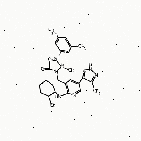 CCC1CCCCC1Nc1ncc(-c2c[nH]nc2C(F)(F)F)cc1CN1C(=O)O[C@H](c2cc(C(F)(F)F)cc(C(F)(F)F)c2)[C@@H]1C